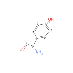 NC(C=O)c1ccc(O)cc1